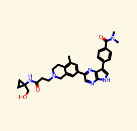 Cc1cc(-c2cnc3[nH]cc(-c4ccc(C(=O)N(C)C)cc4)c3n2)cc2c1CCN(CCC(=O)NC1(CO)CC1)C2